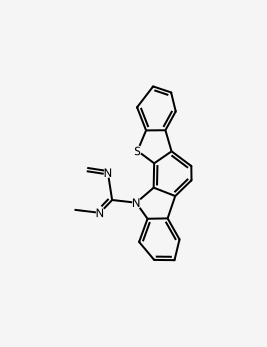 C=N/C(=N\C)n1c2ccccc2c2ccc3c4ccccc4sc3c21